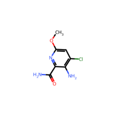 COc1cc(Cl)c(N)c(C(N)=O)n1